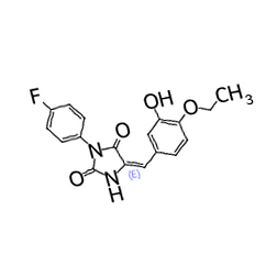 CCOc1ccc(/C=C2/NC(=O)N(c3ccc(F)cc3)C2=O)cc1O